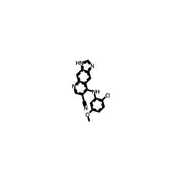 COc1ccc(Cl)c(Nc2c(C#N)cnc3cc4[nH]cnc4cc23)c1